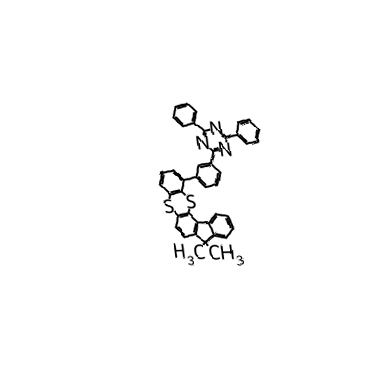 CC1(C)c2ccccc2-c2c1ccc1c2Sc2c(cccc2-c2cccc(-c3nc(-c4ccccc4)nc(-c4ccccc4)n3)c2)S1